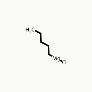 CCCC[CH2][Mg][Cl]